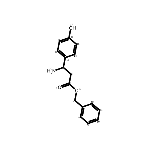 NC(CC(=O)OCc1ccccc1)c1ccc(O)cc1